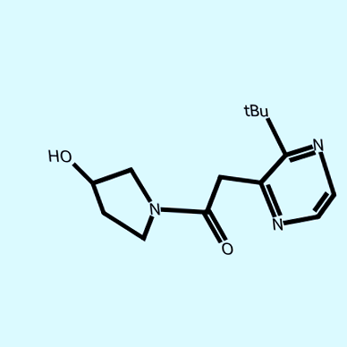 CC(C)(C)c1nccnc1CC(=O)N1CCC(O)C1